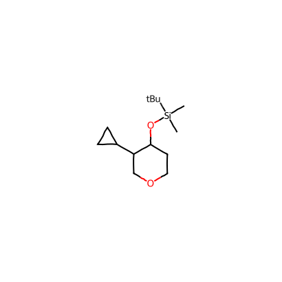 CC(C)(C)[Si](C)(C)OC1CCOCC1C1CC1